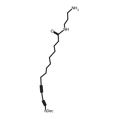 CCCCCCCCCCC#CC#CCCCCCCCCC(=O)NCCCN